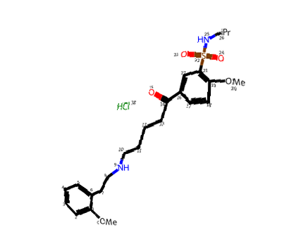 COc1ccccc1CCNCCCCC(=O)c1ccc(OC)c(S(=O)(=O)NC(C)C)c1.Cl